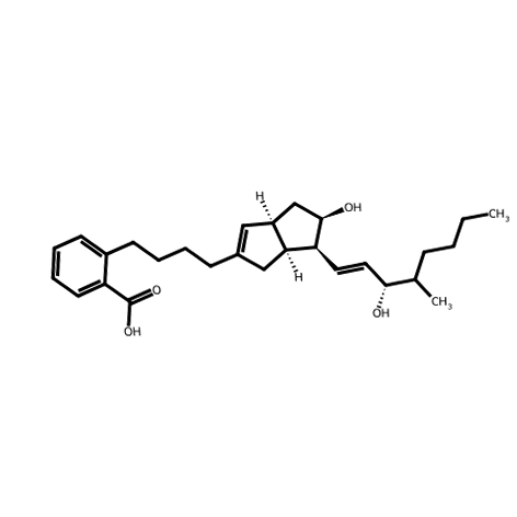 CCCCC(C)[C@H](O)/C=C/[C@H]1[C@H]2CC(CCCCc3ccccc3C(=O)O)=C[C@H]2C[C@H]1O